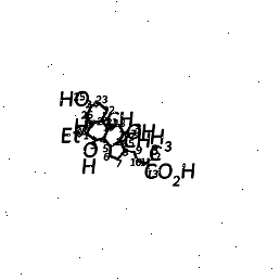 CC[C@H]1[C@@H](O)C2C3CC[C@H](CC[C@H](C)C(=O)O)[C@@]3(C)[C@@H](O)CC2[C@@]2(C)CC[C@@H](O)C[C@@H]12